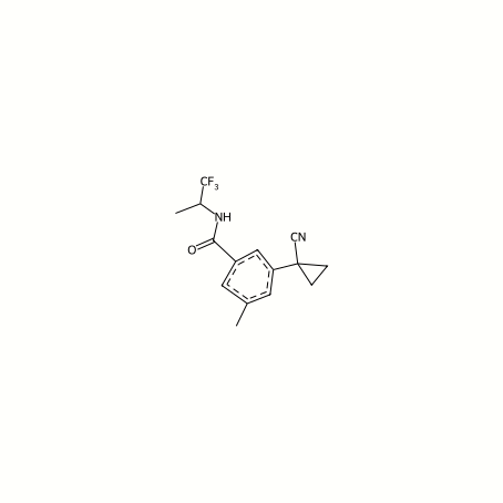 Cc1cc(C(=O)NC(C)C(F)(F)F)cc(C2(C#N)CC2)c1